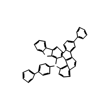 c1ccc(-c2ccc(N(c3cccc4c3sc3ccccc34)c3cccc4ccc5c6cc(-c7ccccc7)ccc6oc5c34)cc2)cc1